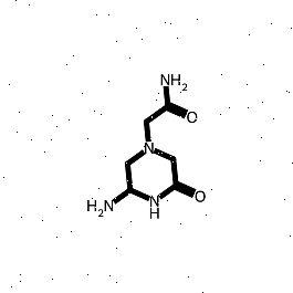 NC(=O)CN1CC(=O)NC(N)C1